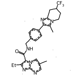 CCc1nc2ncc(C)cn2c1C(=O)NCc1ccc(-c2nc3n(c2C)CCC(C(F)(F)F)C3)cc1